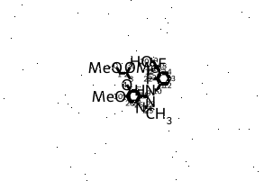 COCC(COc1cc2c(NCc3cccc(C(F)(F)CO)c3F)nc(C)nc2cc1OC)OC